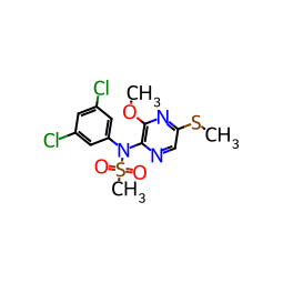 COc1nc(SC)cnc1N(c1cc(Cl)cc(Cl)c1)S(C)(=O)=O